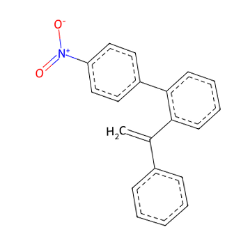 C=C(c1ccccc1)c1ccccc1-c1ccc([N+](=O)[O-])cc1